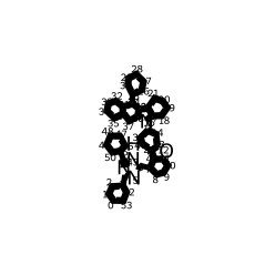 c1ccc(C2=NC(c3cccc4oc5cc(-n6c7ccccc7c7c(-c8ccccc8)c8ccccc8cc76)ccc5c34)NC(c3ccccc3)=N2)cc1